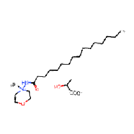 CC(O)C(=O)[O-].CCC[N+]1(NC(=O)CCCCCCCCCCCCCCC(C)C)CCOCC1